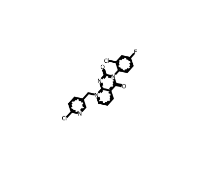 O=c1nc2n(Cc3ccc(Cl)nc3)cccc-2c(=O)n1-c1ccc(F)cc1Cl